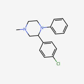 CN1CCN(c2ccccc2)C(c2ccc(Cl)cc2)C1